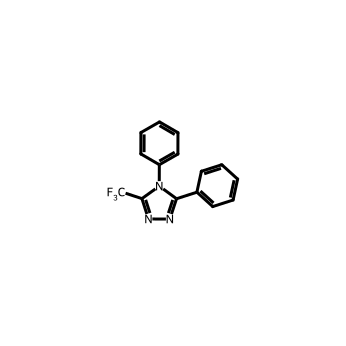 FC(F)(F)c1nnc(-c2ccccc2)n1-c1ccccc1